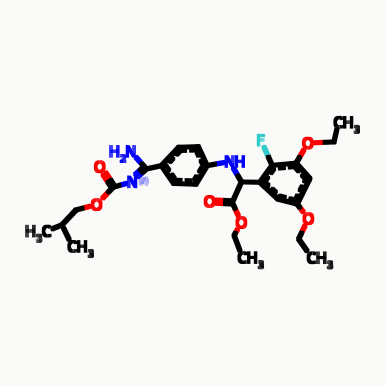 CCOC(=O)C(Nc1ccc(/C(N)=N/C(=O)OCC(C)C)cc1)c1cc(OCC)cc(OCC)c1F